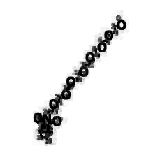 COCCOCCOCCOCCOCCOCCOCCOCCN1C(=O)C2C3C=CC(O3)C2C1=O